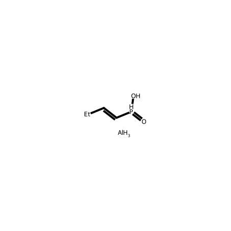 CCC=C[PH](=O)O.[AlH3]